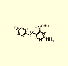 CCCCNc1nc(N)ncc1SCc1ccc(C)cc1